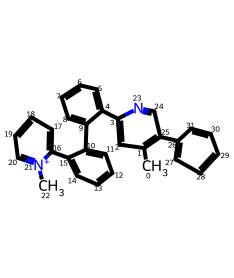 Cc1cc(-c2ccccc2-c2ccccc2-c2cccc[n+]2C)ncc1-c1ccccc1